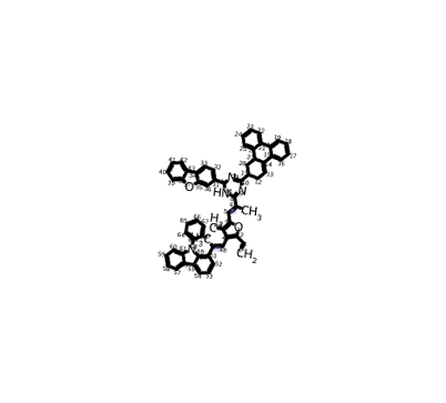 C=Cc1oc(/C=C(\C)C2=NC(C3CC=C4c5ccccc5-c5ccccc5C4C3)=NC(c3ccc4c(c3)oc3ccccc34)N2)c(C)c1/C=C(\C)c1cccc2c3ccccc3n(-c3ccccc3)c12